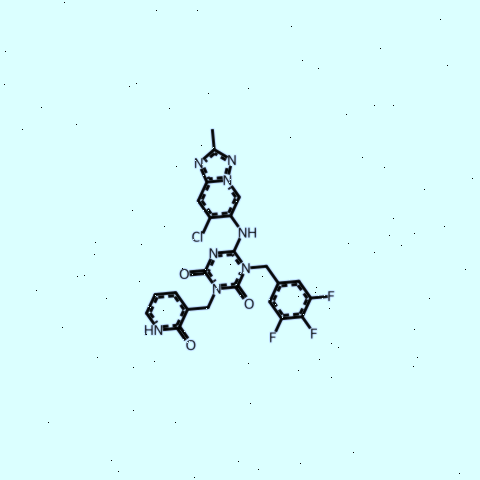 Cc1nc2cc(Cl)c(Nc3nc(=O)n(Cc4ccc[nH]c4=O)c(=O)n3Cc3cc(F)c(F)c(F)c3)cn2n1